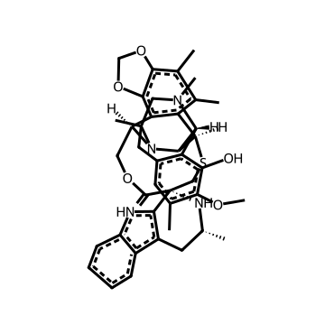 C=C1OC[C@H]2c3c4c(c(C)c(C)c3[C@@H](SC[C@]13N[C@H](C)Cc1c3[nH]c3ccccc13)C1[C@H]3c5c(cc(C)c(OC)c5O)CC(C)(CN3C)N12)OCO4